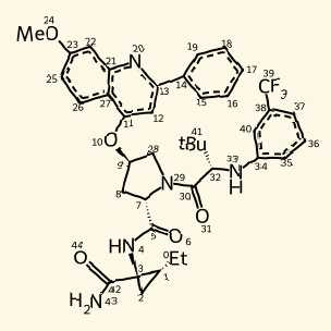 CC[C@@H]1C[C@]1(NC(=O)[C@@H]1C[C@@H](Oc2cc(-c3ccccc3)nc3cc(OC)ccc23)CN1C(=O)[C@@H](Nc1cccc(C(F)(F)F)c1)C(C)(C)C)C(N)=O